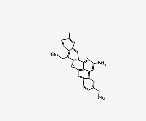 Bc1cc2c3c(cc4ccc(CC(C)(C)C)cc42)Oc2c(cc4cc(C)ccc4c2CC(C)(C)C)-c3n1